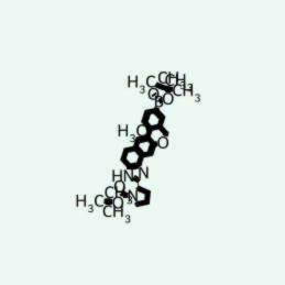 CC(C)(C)OC(=O)N1CCC[C@H]1c1nc2c([nH]1)CCc1cc3c(cc1-2)OCC1C=C(B2OC(C)(C)C(C)(C)O2)C=CC31C